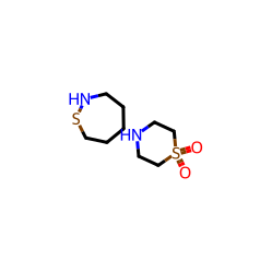 C1CCNSCC1.O=S1(=O)CCNCC1